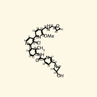 COc1nc(-c2ccnc(-c3cccc(NC(=O)c4ccc(CN5CC(O)C5)cn4)c3C)c2Cl)ccc1CNC[C@@H]1CCO1